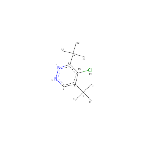 CC(C)(C)c1cnnc(C(C)(C)C)c1Cl